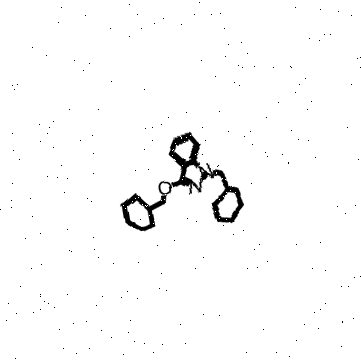 c1ccc2c(c1)c(OCC1CCCCC1)nn2CC1CCCCC1